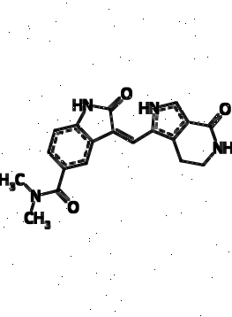 CN(C)C(=O)c1ccc2c(c1)C(=Cc1[nH]cc3c1CCNC3=O)C(=O)N2